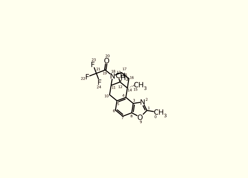 Cc1nc2c3c(ccc2o1)CC1[C@@H](C)[C@@]3(C)CCN1C(=O)C(F)(F)F